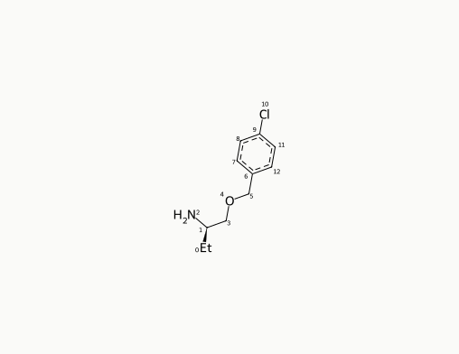 CC[C@@H](N)COCc1ccc(Cl)cc1